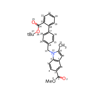 COC(=O)c1ccc2c(c1)cc(C)n2Cc1ccc(-c2ccccc2C(=O)OC(C)(C)C)cc1